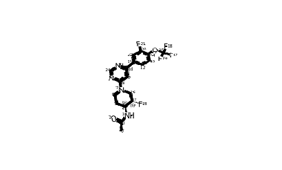 CC(=O)N[C@H]1CCN(c2cc(-c3ccc(OC(F)(F)F)c(F)c3)ncn2)C[C@@H]1F